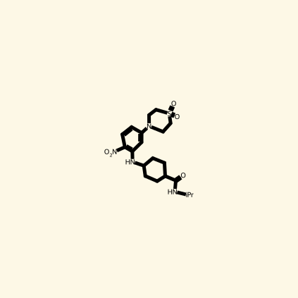 CC(C)NC(=O)C1CCC(Nc2cc(N3CCS(=O)(=O)CC3)ccc2[N+](=O)[O-])CC1